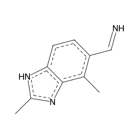 Cc1nc2c(C)c(C=N)ccc2[nH]1